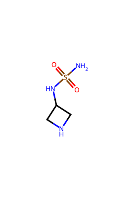 NS(=O)(=O)NC1CNC1